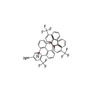 N#Cc1ccc(-c2cccc(-n3c4ccccc4c4cc(C(F)(F)F)ccc43)c2-c2c(C#N)cccc2-n2c3ccccc3c3cc(C(F)(F)F)ccc32)c(C(F)(F)F)c1